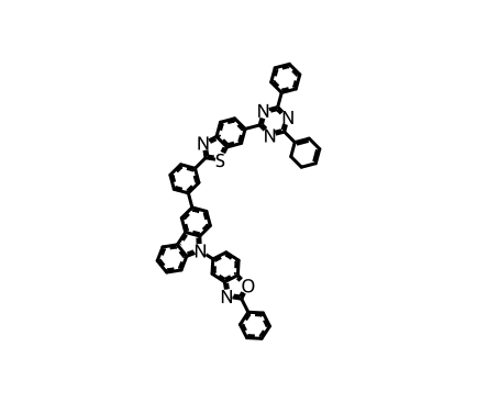 C1=CCCC(c2nc(-c3ccccc3)nc(-c3ccc4nc(-c5cccc(-c6ccc7c(c6)c6ccccc6n7-c6ccc7oc(-c8ccccc8)nc7c6)c5)sc4c3)n2)=C1